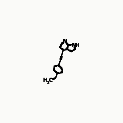 C=Cc1ccc(C#Cc2ccnc3[nH]ccc23)cc1